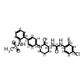 CS(=O)(=O)Nc1ccccc1-c1ccc(N2CCC[C@@H](NC(=O)Nc3ccc(Cl)cc3F)C2=O)cc1